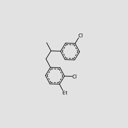 CCc1ccc(CC(C)c2cccc(Cl)c2)cc1Cl